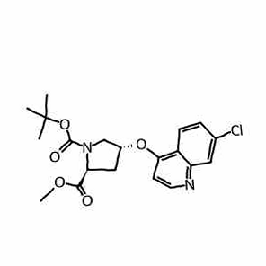 COC(=O)[C@@H]1C[C@@H](Oc2ccnc3cc(Cl)ccc23)CN1C(=O)OC(C)(C)C